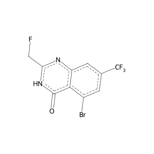 O=c1[nH]c(CF)nc2cc(C(F)(F)F)cc(Br)c12